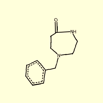 O=C1CCN(Cc2ccccc2)CCN1